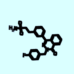 NS(=O)(=O)CCc1cccc(-c2nn(Cc3ccc(F)cc3)c(=O)c3ccccc23)c1